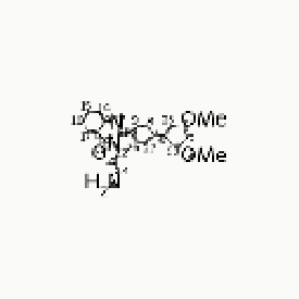 COc1cc(OC)cc(-c2ccc(-c3nc4ccccc4c(=O)n3CCCN)cc2)c1